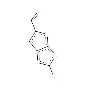 Nc1nc2sc(C=O)cc2s1